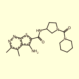 Cc1nnc2sc(C(=O)NC3CCN(C(=O)N4CCCCC4)C3)c(N)c2c1C